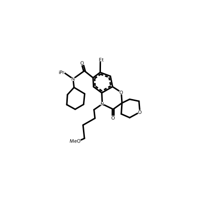 CCc1cc2c(cc1C(=O)N(C(C)C)C1CCCCC1)N(CCCCOC)C(=O)C1(CCOCC1)O2